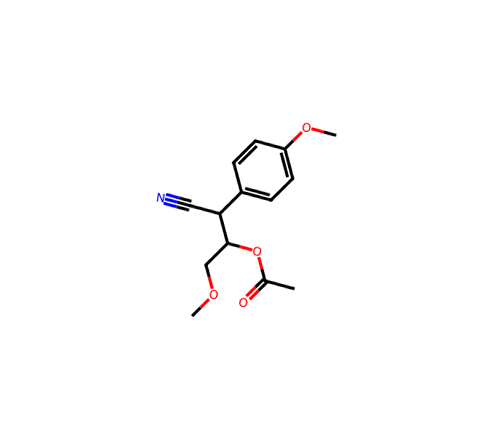 COCC(OC(C)=O)C(C#N)c1ccc(OC)cc1